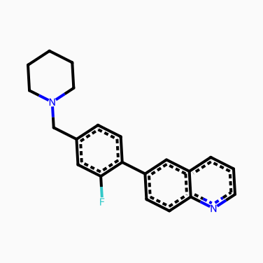 Fc1cc(CN2CCCCC2)ccc1-c1ccc2ncccc2c1